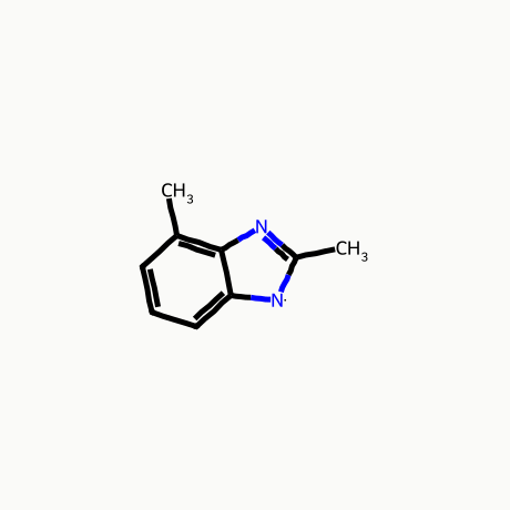 CC1=Nc2c(C)cccc2[N]1